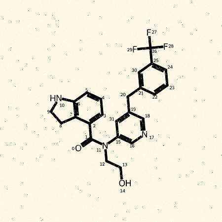 O=C(c1cccc2c1CCN2)N(CCO)c1cncc(Cc2cccc(C(F)(F)F)c2)c1